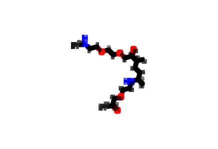 CC(C)NCCOCCOCC(=O)C(C)CCC(C)NCCOCC(=O)C(C)C